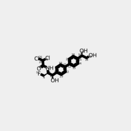 O=C(N[C@H](CF)[C@H](O)c1ccc(-c2ccc([C@@H](O)CO)cc2)cc1)C(Cl)Cl